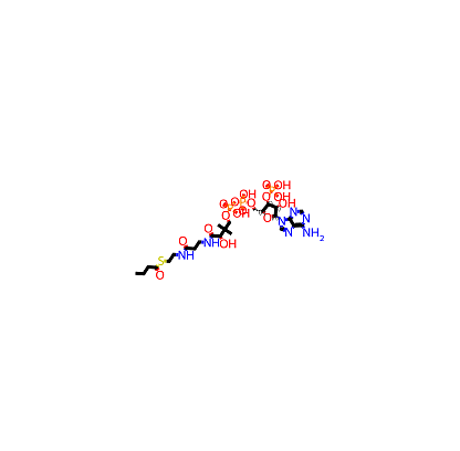 CCCC(=O)SCCNC(=O)CCNC(=O)C(O)C(C)(C)COP(=O)(O)OP(=O)(O)OC[C@H]1O[C@@H](n2cnc3c(N)ncnc32)[C@H](O)[C@@H]1OP(=O)(O)O